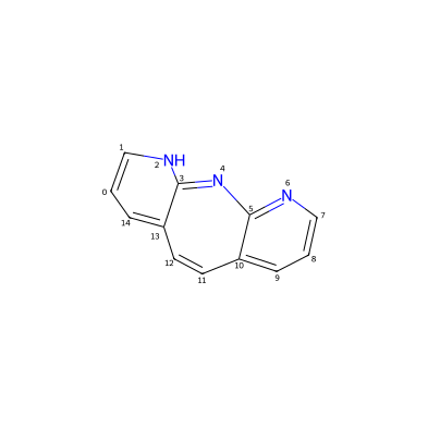 C1=CNC2=Nc3ncccc3C=CC2=C1